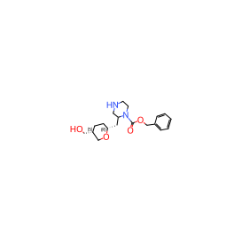 O=C(OCc1ccccc1)N1CCNCC1C[C@H]1CC[C@@H](CO)CO1